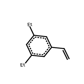 C=Cc1cc(CC)cc(CC)c1